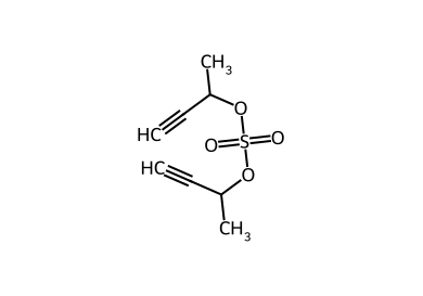 C#CC(C)OS(=O)(=O)OC(C)C#C